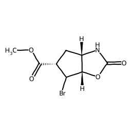 COC(=O)[C@@H]1C[C@@H]2NC(=O)O[C@@H]2C1Br